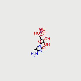 Cc1cn([C@@H]2OC(COP(=O)(O)O)C(O)[C@H]2O)c(=O)nc1N